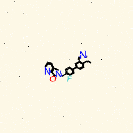 CCc1ccc(-c2ccc(CN3Cc4cccnc4C3=O)c(F)c2)cc1/C=N\C